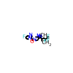 C=C/C(=C\C(F)=C(\F)CF)c1c2c(nn1C)CN(C(=O)c1cnc3cc(F)ccn13)CC2